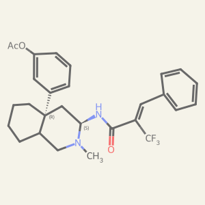 CC(=O)Oc1cccc([C@@]23CCCCC2CN(C)[C@H](NC(=O)C(=Cc2ccccc2)C(F)(F)F)C3)c1